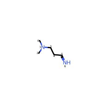 CN(C)CCC=N